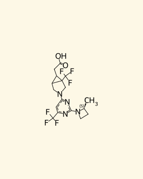 C[C@H]1CCN1c1nc(N2CC3C(CC(=O)O)C3(C(F)(F)F)C2)cc(C(F)(F)F)n1